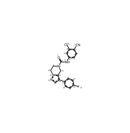 N#Cc1ccc(NC(=O)N2CCn3ncc(-c4ccc(F)cc4)c3C2)cc1Cl